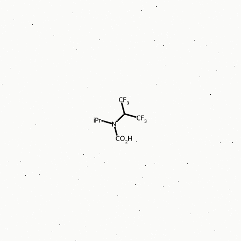 CC(C)N(C(=O)O)C(C(F)(F)F)C(F)(F)F